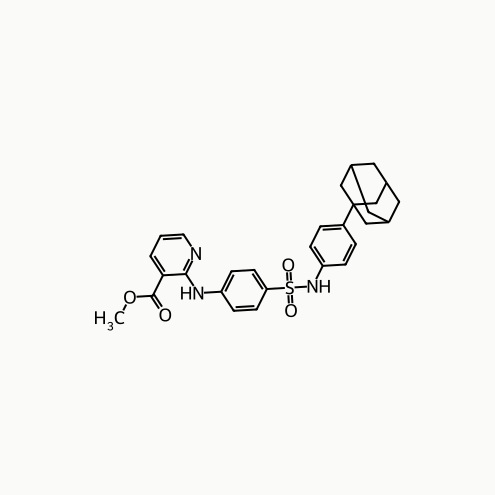 COC(=O)c1cccnc1Nc1ccc(S(=O)(=O)Nc2ccc(C34CC5CC(CC(C5)C3)C4)cc2)cc1